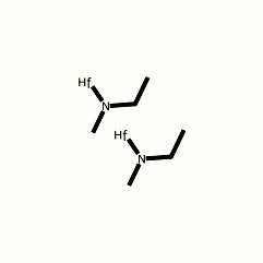 CC[N](C)[Hf].CC[N](C)[Hf]